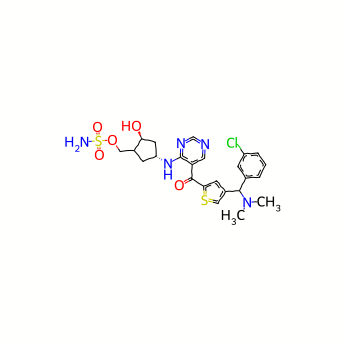 CN(C)C(c1cccc(Cl)c1)c1csc(C(=O)c2cncnc2N[C@@H]2CC(COS(N)(=O)=O)[C@@H](O)C2)c1